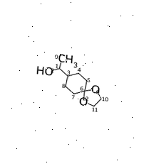 CC(O)C1CCC2(CC1)OCCO2